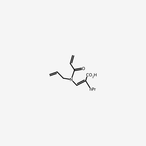 C=CCN(C=C(CCC)C(=O)O)C(=O)C=C